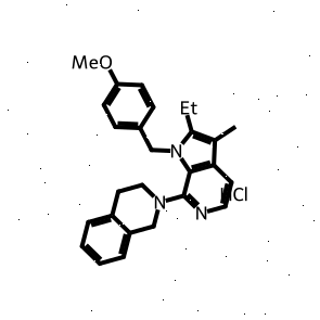 CCc1c(C)c2ccnc(N3CCc4ccccc4C3)c2n1Cc1ccc(OC)cc1.Cl